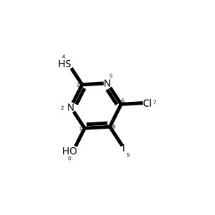 Oc1nc(S)nc(Cl)c1I